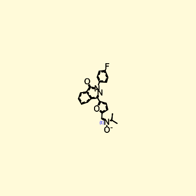 CC(C)/[N+]([O-])=C\c1ccc(-c2nn(-c3ccc(F)cc3)c(=O)c3ccccc23)o1